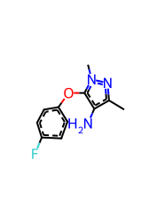 Cc1nn(C)c(Oc2ccc(F)cc2)c1N